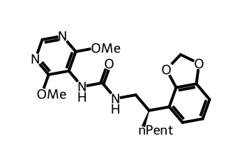 CCCCC[C@@H](CNC(=O)Nc1c(OC)ncnc1OC)c1cccc2c1OCO2